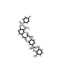 Cc1ccc(S(=O)(=O)Oc2ccc(/C=C3/Sc4cc(S(=O)(=O)Cc5c(Cl)cccc5Cl)ccc4NC3=O)cc2[N+](=O)[O-])cc1